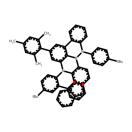 Cc1cc(C)c(-c2cc3c4c(c2)N(c2ccc(C(C)(C)C)cc2-c2ccccc2)c2c(ccc5sc6ccccc6c25)B4N(c2ccc(C(C)(C)C)cc2)c2ccccc2-3)c(C)c1